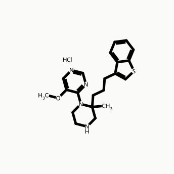 COc1cncnc1N1CCNCC1(C)CCCc1csc2ccccc12.Cl